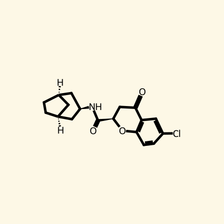 O=C1C[C@H](C(=O)N[C@@H]2C[C@@H]3CC[C@@H](C3)C2)Oc2ccc(Cl)cc21